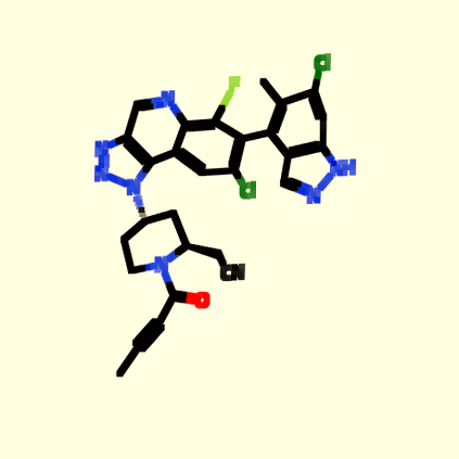 CC#CC(=O)N1CC[C@H](n2nnc3cnc4c(F)c(-c5c(C)c(Cl)cc6[nH]ncc56)c(Cl)cc4c32)C[C@H]1CC#N